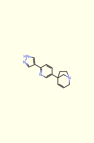 C1=CC2(c3ccc(-c4cn[nH]c4)nc3)CCN(C1)C2